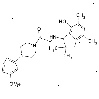 COc1cccc(N2CCN(C(=O)CNC3c4c(O)c(C)cc(C)c4CC3(C)C)CC2)c1